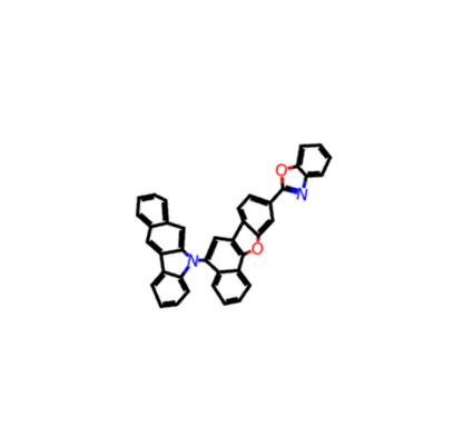 c1ccc2cc3c(cc2c1)c1ccccc1n3-c1cc2c3ccc(-c4nc5ccccc5o4)cc3oc2c2ccccc12